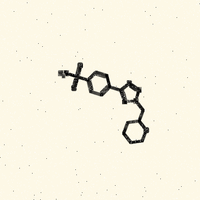 NS(=O)(=O)c1ccc(-c2nnn(CC3CCCCO3)n2)cc1